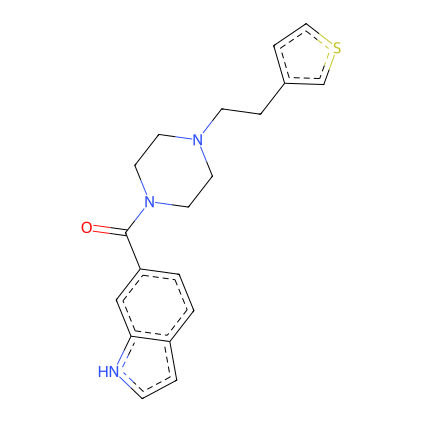 O=C(c1ccc2cc[nH]c2c1)N1CCN(CCc2ccsc2)CC1